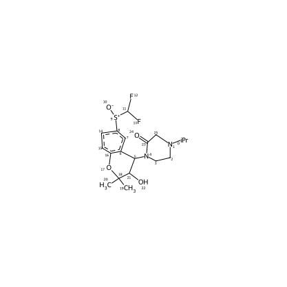 CC(C)N1CCN(C2c3cc([S+]([O-])C(F)F)ccc3OC(C)(C)C2O)C(=O)C1